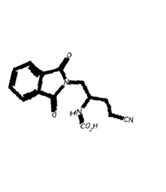 N#CCCC(CN1C(=O)c2ccccc2C1=O)NC(=O)O